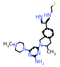 CC1Cc2ccc(/C(C=N)=C/NCCF)cc2CN1c1cc(N2CCN(C)CC2)nc(N)n1